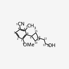 COc1ccc(C#N)c(C)c1C1CN(CCO)C1